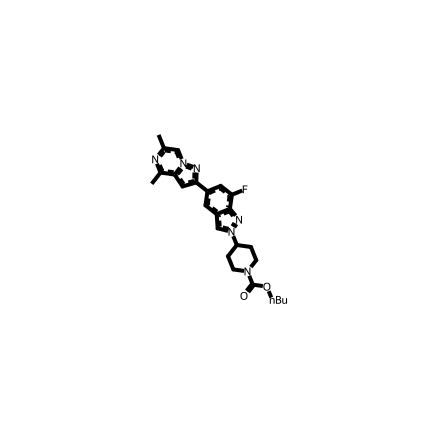 CCCCOC(=O)N1CCC(n2cc3cc(-c4cc5c(C)nc(C)cn5n4)cc(F)c3n2)CC1